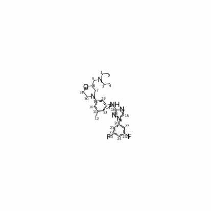 CCN(CC)CC1CN(c2cc(C)cc(Nc3ncn(-c4cc(F)cc(F)c4)n3)c2)CCO1